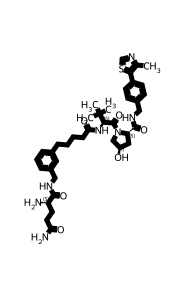 Cc1ncsc1-c1ccc(CNC(=O)[C@@H]2C[C@@H](O)CN2C(=O)[C@@H](NC(=O)CCCCc2cccc(CNC(=O)[C@@H](N)CCC(N)=O)c2)C(C)(C)C)cc1